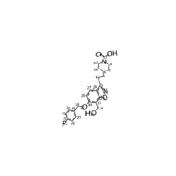 O=C(O)N1CCC(CCc2noc3c(CO)c(OCc4ccc(F)cc4)ccc23)CC1